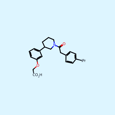 CC(C)c1ccc(CC(=O)N2CCCC(c3cccc(OCC(=O)O)c3)C2)cc1